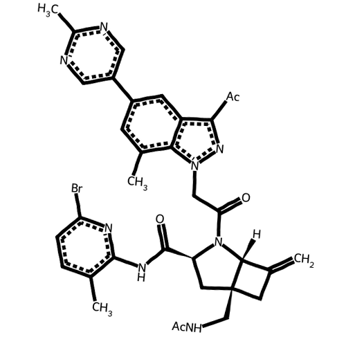 C=C1C[C@]2(CNC(C)=O)C[C@@H](C(=O)Nc3nc(Br)ccc3C)N(C(=O)Cn3nc(C(C)=O)c4cc(-c5cnc(C)nc5)cc(C)c43)[C@H]12